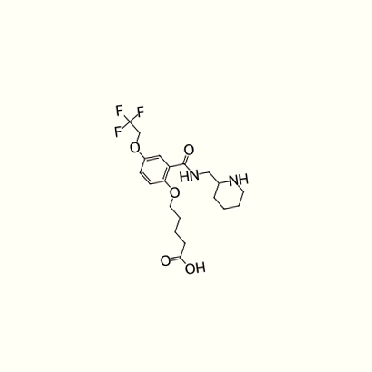 O=C(O)CCCCOc1ccc(OCC(F)(F)F)cc1C(=O)NCC1CCCCN1